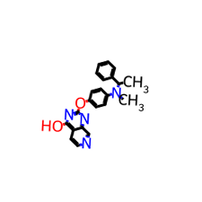 CC(c1ccccc1)N(C)c1ccc(Oc2nc(O)c3ccncc3n2)cc1